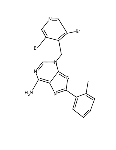 Cc1ccccc1-c1nc2c(N)ncn(Cc3c(Br)cncc3Br)c-2n1